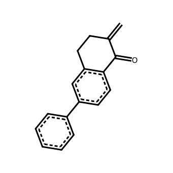 C=C1CCc2cc(-c3ccccc3)ccc2C1=O